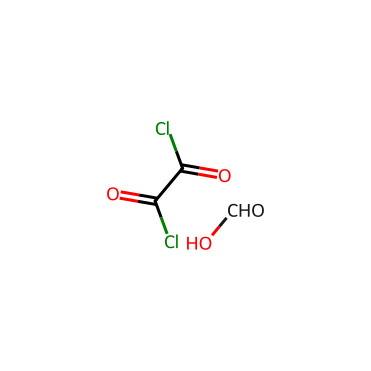 O=C(Cl)C(=O)Cl.O=CO